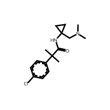 CN(C)CC1(NC(=O)C(C)(C)c2ccc(Cl)cc2)CC1